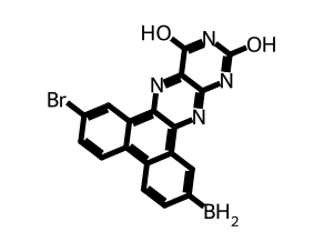 Bc1ccc2c3ccc(Br)cc3c3nc4c(O)nc(O)nc4nc3c2c1